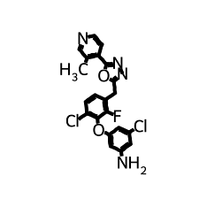 Cc1cnccc1-c1nnc(Cc2ccc(Cl)c(Oc3cc(N)cc(Cl)c3)c2F)o1